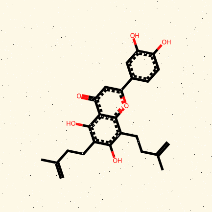 C=C(C)CCc1c(O)c(CCC(=C)C)c2oc(-c3ccc(O)c(O)c3)cc(=O)c2c1O